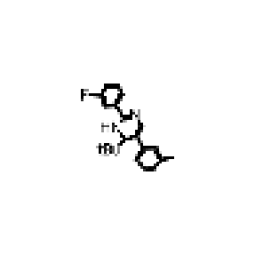 Cc1cccc(C2=CN=C(c3cccc(F)c3)NC2C(C)(C)C)c1